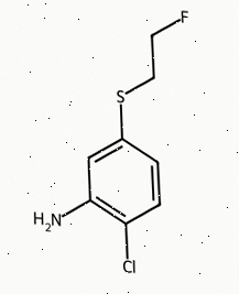 Nc1cc(SCCF)ccc1Cl